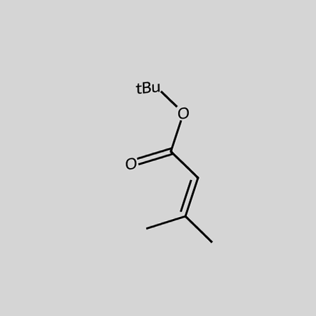 CC(C)=CC(=O)OC(C)(C)C